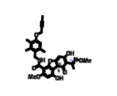 CC#CCOc1cc(C)c(CNC(=O)c2c(OC)cc(O)c3c2OC2=CC(O)=C(/C(C)=N/OC)C(=O)[C@]23C)c(C)c1C